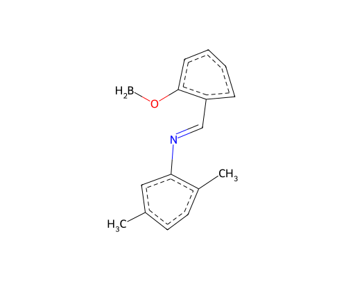 BOc1ccccc1/C=N/c1cc(C)ccc1C